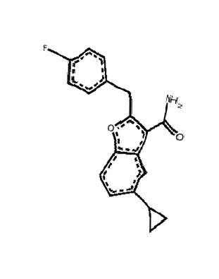 NC(=O)c1c(Cc2ccc(F)cc2)oc2ccc(C3CC3)cc12